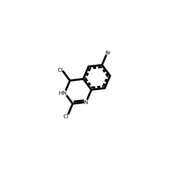 ClC1=Nc2ccc(Br)cc2C(Cl)N1